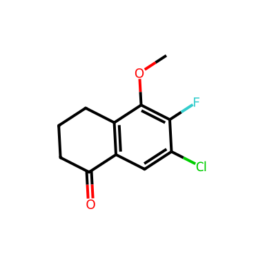 COc1c(F)c(Cl)cc2c1CCCC2=O